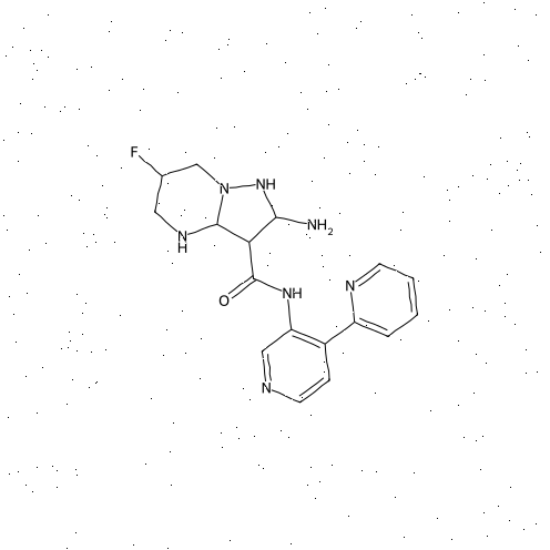 NC1NN2CC(F)CNC2C1C(=O)Nc1cnccc1-c1ccccn1